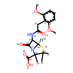 COc1cccc(OC)c1CC(=O)NC1C(=O)N2[C@@H]1SC(C)(C)C2(C)C(=O)O